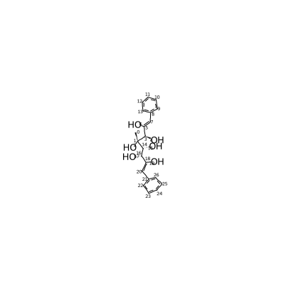 C[C@@](O)([C@H](O)C(O)=Cc1ccccc1)[C@H](O)[C@@H](O)C(O)=Cc1ccccc1